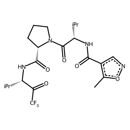 Cc1oncc1C(=O)N[C@H](C(=O)N1CCC[C@H]1C(=O)N[C@H](C(=O)C(F)(F)F)C(C)C)C(C)C